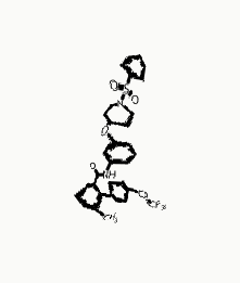 Cc1cccc(C(=O)Nc2cccc(OC3CCN(S(=O)(=O)c4ccccc4)CC3)c2)c1-c1ccc(OC(F)(F)F)cc1